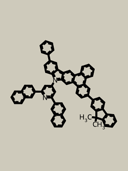 CC1(C)c2ccccc2-c2ccc(-c3ccc4c(c3)c3ccccc3c3cc5c6cc(-c7ccccc7)ccc6n(-c6cc(-c7ccc8ccccc8c7)nc(-c7ccc8ccccc8c7)c6)c5cc43)cc21